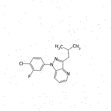 CC(C)Cc1nn(-c2ccc(Cl)c(F)c2)c2cccnc12